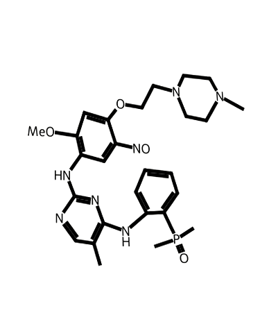 COc1cc(OCCN2CCN(C)CC2)c(N=O)cc1Nc1ncc(C)c(Nc2ccccc2P(C)(C)=O)n1